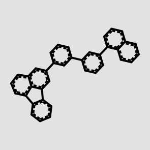 c1cc(-c2cccc(-c3cccc4ccccc34)c2)cc(-c2cc3c4c(cccc4c2)-c2ccccc2-3)c1